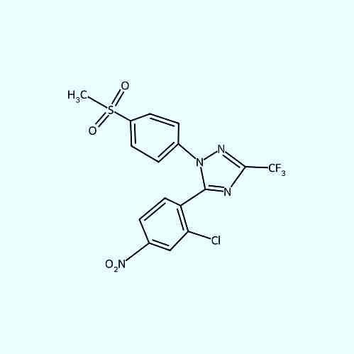 CS(=O)(=O)c1ccc(-n2nc(C(F)(F)F)nc2-c2ccc([N+](=O)[O-])cc2Cl)cc1